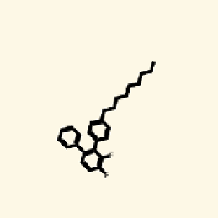 CCCCCCCCCc1ccc(-c2c(-c3ccccc3)ccc(F)c2F)cc1